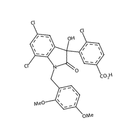 COc1ccc(CN2C(=O)C(O)(c3cc(C(=O)O)ccc3Cl)c3cc(Cl)cc(Cl)c32)c(OC)c1